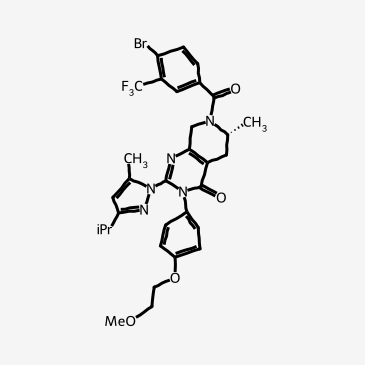 COCCOc1ccc(-n2c(-n3nc(C(C)C)cc3C)nc3c(c2=O)C[C@@H](C)N(C(=O)c2ccc(Br)c(C(F)(F)F)c2)C3)cc1